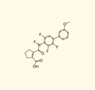 COc1cccc(-c2cc(F)c(N(F)C(=O)C3=C(C(=O)O)CCC3)c(F)c2F)c1